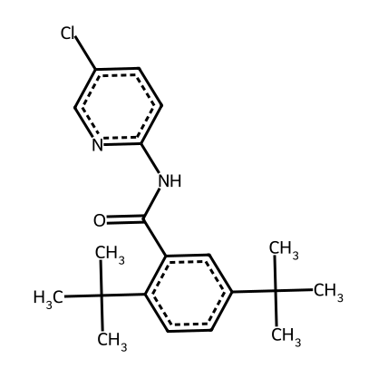 CC(C)(C)c1ccc(C(C)(C)C)c(C(=O)Nc2ccc(Cl)cn2)c1